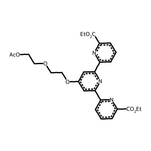 CCOC(=O)c1cccc(-c2cc(OCCOCCOC(C)=O)cc(-c3cccc(C(=O)OCC)n3)n2)n1